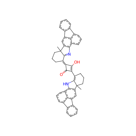 CC12CCC/C(=C3\C(=O)C(C4=C5Nc6c(cc7c8c(cccc68)-c6ccccc6-7)C5(C)CCC4)=C3O)C1=Nc1c2cc2c3c(cccc13)-c1ccccc1-2